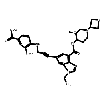 CNC(=O)c1ccc(NCC#Cc2cc(C(=O)NC3CCN(C4COC4)C[C@@H]3C)c3ncn(CC(F)(F)F)c3c2)c(OC)c1